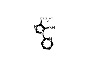 CCOC(=O)c1ncn(-c2ccccn2)c1S